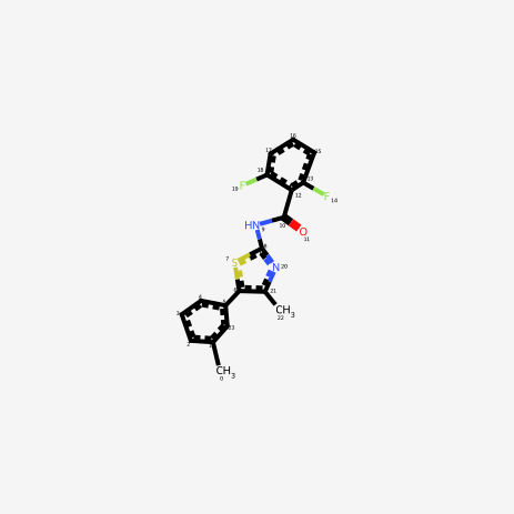 Cc1cccc(-c2sc(NC(=O)c3c(F)cccc3F)nc2C)c1